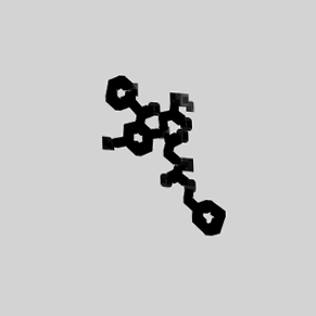 NC(=O)CN(C(=O)CNC(=O)OCc1ccccc1)c1ccc(Br)cc1C(=O)c1ccccn1